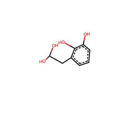 Oc1cccc(CC(O)O)c1O